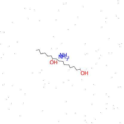 CCCCCCC(O)CCCCCCCCCO.N.N